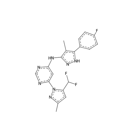 Cc1cc(C(F)F)n(-c2cc(Nc3n[nH]c(-c4ccc(F)cc4)c3C)ncn2)n1